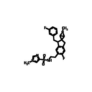 CN1C2C1C21Cc2cc(F)c(CCNS(=O)(=O)c3cn(C)cn3)cc2C1Cc1cccc(F)c1